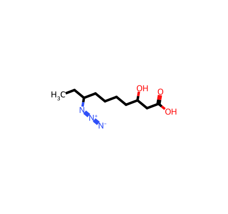 CCC(CCCCC(O)CC(=O)O)N=[N+]=[N-]